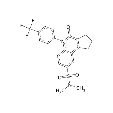 CN(C)S(=O)(=O)c1ccc2c(c1)c1c(c(=O)n2-c2ccc(C(F)(F)F)cc2)CCC1